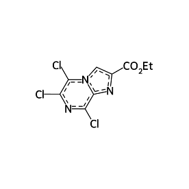 CCOC(=O)c1cn2c(Cl)c(Cl)nc(Cl)c2n1